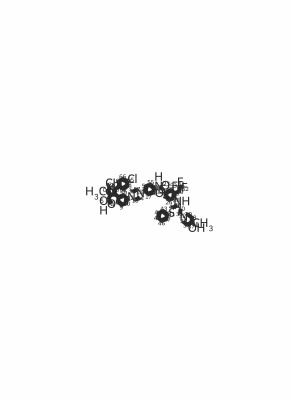 Cc1c(C(=O)O)c(-c2cccc(N3CCN(c4ccc(NS(=O)(=O)c5ccc(N[C@H](CCN6CCC(C)(O)CC6)CSc6ccccc6)c(CC(F)(F)F)c5)cc4)CC3)c2)c(-c2ccc(Cl)cc2)n1C